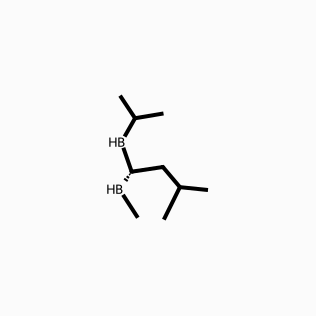 CB[C@H](BC(C)C)CC(C)C